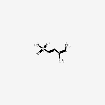 CC=C(C)C=CS(=O)(=O)O